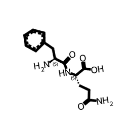 NC(=O)CC[C@H](NC(=O)[C@@H](N)Cc1ccccc1)C(=O)O